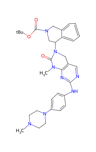 CN1CCN(c2ccc(Nc3ncc4c(n3)N(C)C(=O)N(C3CN(C(=O)OC(C)(C)C)Cc5ccccc53)C4)cc2)CC1